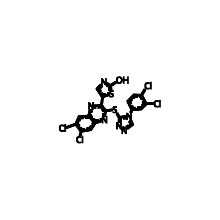 Oc1ncc(-c2nc3cc(Cl)c(Cl)cc3nc2Sc2nncn2-c2ccc(Cl)c(Cl)c2)s1